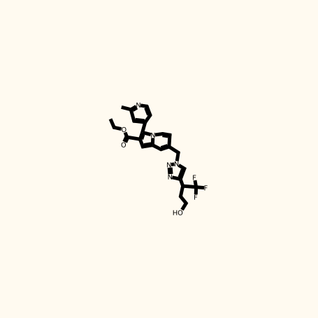 CCOC(=O)c1cc2cc(Cn3cc(C(CCO)C(F)(F)F)nn3)ccn2c1-c1ccnc(C)c1